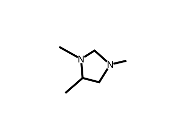 CC1CN(C)CN1C